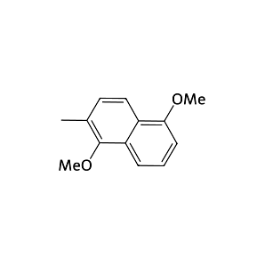 COc1cccc2c(OC)c(C)ccc12